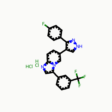 Cl.Cl.Fc1ccc(-c2n[nH]cc2-c2ccc3ncc(-c4cccc(C(F)(F)F)c4)n3c2)cc1